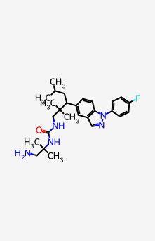 CC(C)CC(c1ccc2c(cnn2-c2ccc(F)cc2)c1)C(C)(C)CNC(=O)NC(C)(C)CN